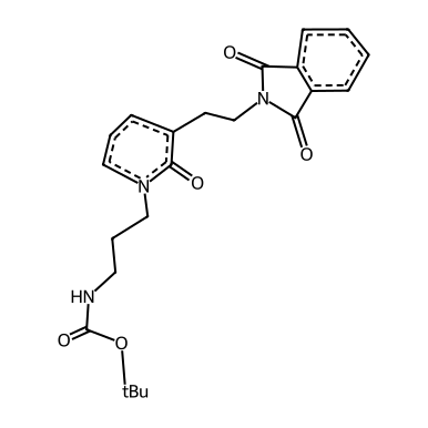 CC(C)(C)OC(=O)NCCCn1cccc(CCN2C(=O)c3ccccc3C2=O)c1=O